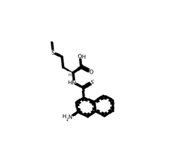 CSCC[C@H](NC(=S)c1cc(N)cc2ccccc12)C(=O)O